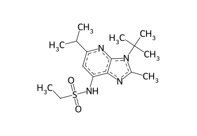 CCS(=O)(=O)Nc1cc(C(C)C)nc2c1nc(C)n2C(C)(C)C